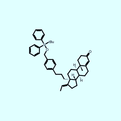 C/C=C1\CC[C@H]2[C@@H]3CCC4=CC(=O)CC[C@@]4(C)[C@@H]3CC[C@]12CCCc1ccc(CO[Si](c2ccccc2)(c2ccccc2)C(C)(C)C)cc1